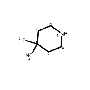 N#CC1(F)CCNCC1